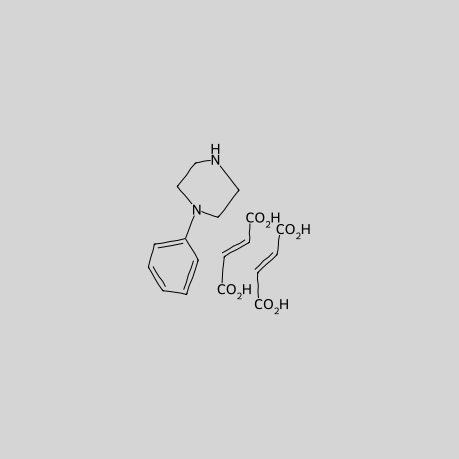 O=C(O)/C=C/C(=O)O.O=C(O)/C=C/C(=O)O.c1ccc(N2CCNCC2)cc1